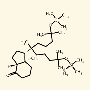 CC(C)(CCCC(C)(CCCC(C)(C)O[Si](C)(C)C)[C@H]1CC[C@H]2C(=O)CCC[C@]12C)O[Si](C)(C)C